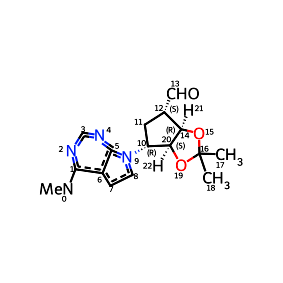 CNc1ncnc2c1ccn2[C@@H]1C[C@H](C=O)[C@H]2OC(C)(C)O[C@H]21